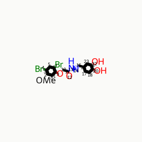 COc1cc(Br)cc(Br)c1OCC(=O)N/N=C/c1ccc(O)c(O)c1